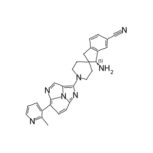 Cc1ncccc1-c1ccc2nc(N3CCC4(CC3)Cc3ccc(C#N)cc3[C@H]4N)c3cnc1n23